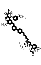 COc1cccc(Nc2c(C(N)=O)cnc3c(C)cc(Cc4cccc(-c5ccc(CCCCCNC[C@H](O[Si](C)(C)C(C)(C)C)c6ccc(O)c7c6OCC(=O)N7)cc5)c4)cc23)c1